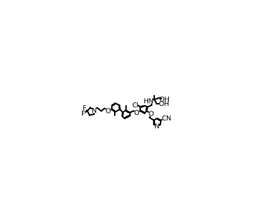 Cc1c(COc2cc(OCc3cncc(C#N)c3)c(CNC(C)(CO)CO)cc2Cl)cccc1-c1cccc(OCCCN2CCC(F)(F)C2)c1C